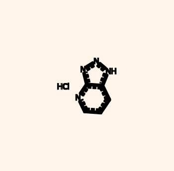 Cl.c1cnc2nn[nH]c2c1